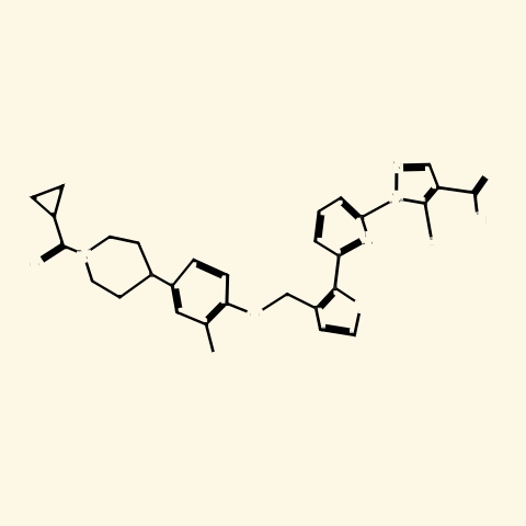 O=C(O)c1cnn(-c2cccc(-c3sccc3COc3ccc(C4CCN(C(=O)C5CC5)CC4)cc3Cl)n2)c1F